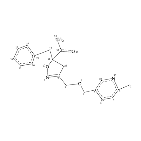 Cc1cnc(COCC2=NOC(Cc3ccccc3)(C(N)=O)C2)cn1